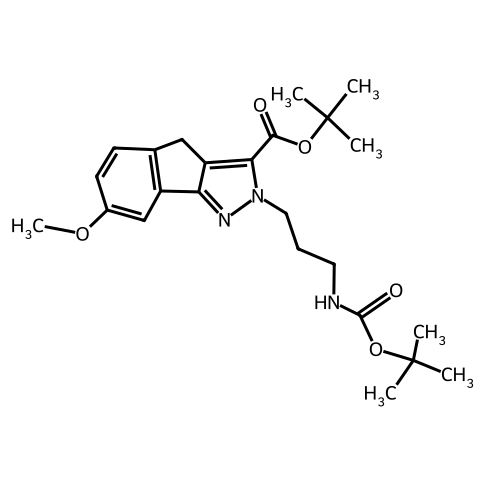 COc1ccc2c(c1)-c1nn(CCCNC(=O)OC(C)(C)C)c(C(=O)OC(C)(C)C)c1C2